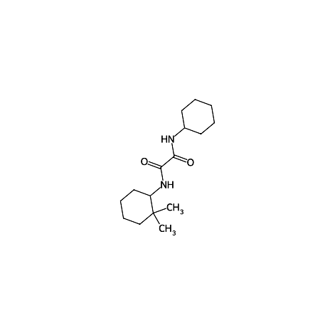 CC1(C)CCCCC1NC(=O)C(=O)NC1CCCCC1